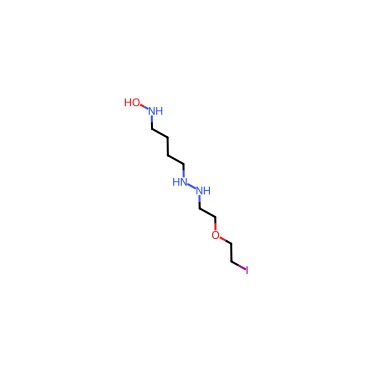 ONCCCCNNCCOCCI